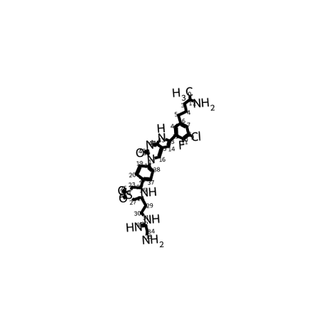 CC(N)CCCc1cc(Cl)c(F)c(-c2cc3cn(-c4ccc(C5CS(=O)(=O)CC(CCNC(=N)CN)N5)cc4)c(=O)nc3[nH]2)c1